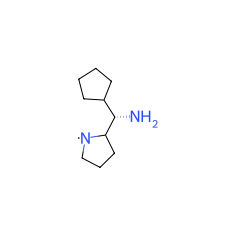 N[C@@H](C1CCCC1)C1CCC[N]1